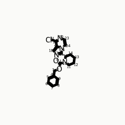 O=C(OCc1ccccc1)N1CCCC[C@H]1c1ncc2c(Cl)nccn12